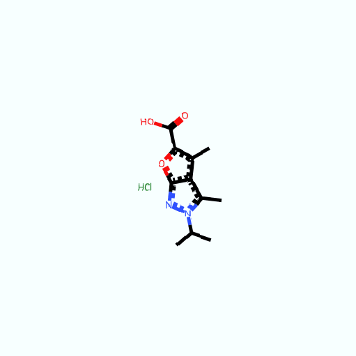 Cc1c(C(=O)O)oc2nn(C(C)C)c(C)c12.Cl